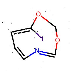 I\C1=C/C=C\N=C\OCO1